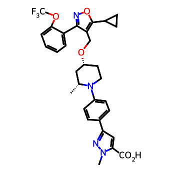 C[C@@H]1C[C@H](OCc2c(-c3ccccc3OC(F)(F)F)noc2C2CC2)CCN1c1ccc(-c2cc(C(=O)O)n(C)n2)cc1